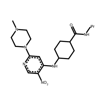 CC(C)NC(=O)C1CCC(Nc2cc(N3CCN(C)CC3)ncc2[N+](=O)[O-])CC1